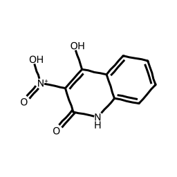 O=c1[nH]c2ccccc2c(O)c1[N+](=O)O